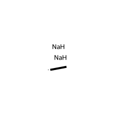 [CH2]C.[NaH].[NaH]